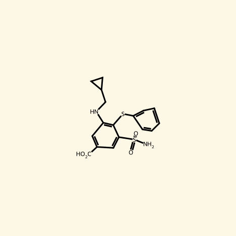 NS(=O)(=O)c1cc(C(=O)O)cc(NCC2CC2)c1Sc1ccccc1